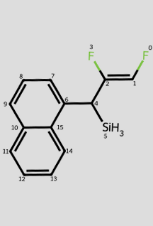 FC=C(F)C([SiH3])c1cccc2ccccc12